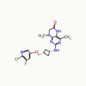 Cc1nc(N[C@H]2C[C@@H](COc3cnc(Cl)c(F)c3)C2)nc2c1NC(=O)CN2C